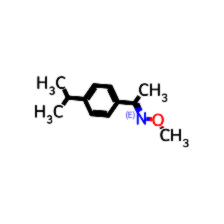 CO/N=C(\C)c1ccc(C(C)C)cc1